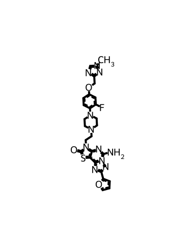 Cn1cnc(COc2ccc(N3CCN(CCn4c(=O)sc5c4nc(N)n4nc(-c6ccco6)nc54)CC3)c(F)c2)n1